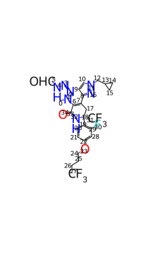 CN(/N=N\NC=O)C1=C(c2ccn(CC3CC3)n2)C[C@](c2ccc(OCCCC(F)(F)F)cc2F)(C(F)(F)F)NC1=O